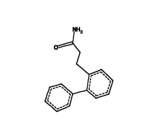 NC(=O)CCc1ccccc1-c1ccccc1